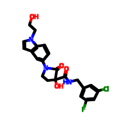 O=C(NCc1cc(F)cc(Cl)c1)C1(O)CCN(c2ccc3c(ccn3CCO)c2)C1=O